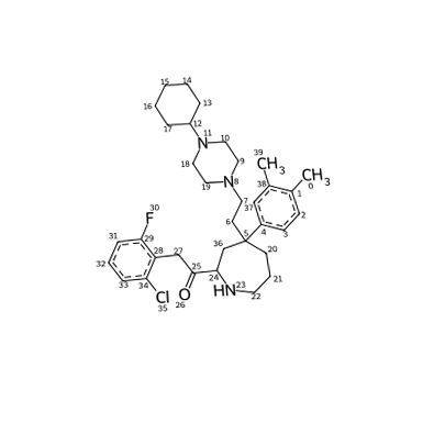 Cc1ccc(C2(CCN3CCN(C4CCCCC4)CC3)CCCNC(C(=O)Cc3c(F)cccc3Cl)C2)cc1C